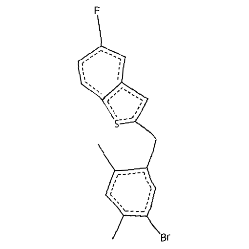 Cc1cc(C)c(Cc2cc3cc(F)ccc3s2)cc1Br